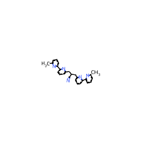 Cc1cccc(-c2cccc(CC(C#N)Cc3cccc(-c4cccc(C)n4)n3)n2)n1